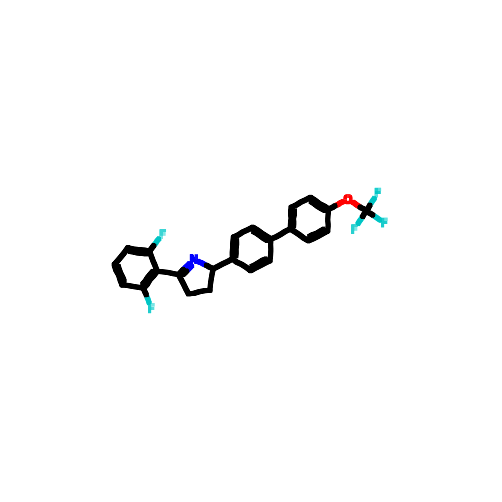 Fc1cccc(F)c1C1=NC(c2ccc(-c3ccc(OC(F)(F)F)cc3)cc2)CC1